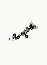 O=C(O)N[C@@H](c1ccccc1)c1cccc(OCc2ccc(C(=O)N(CCCNCC(O)c3ccc(O)c4[nH]c(=O)ccc34)Cc3ccccc3)o2)c1